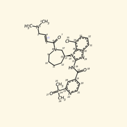 CN(C)C/C=C/C(=O)N1CCCC[C@H](n2c(NC(=O)c3ccnc(P(C)(C)=O)c3)nc3cccc(Cl)c32)C1